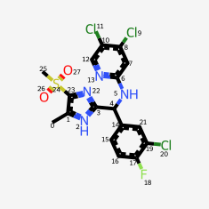 Cc1[nH]c(C(Nc2cc(Cl)c(Cl)cn2)c2ccc(F)c(Cl)c2)nc1S(C)(=O)=O